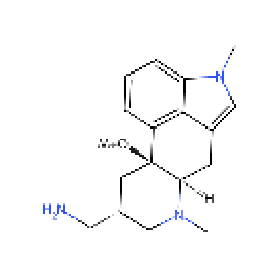 CO[C@]12C[C@@H](CN)CN(C)[C@@H]1Cc1cn(C)c3cccc2c13